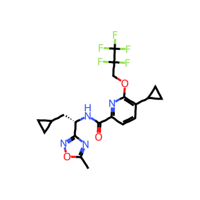 Cc1nc([C@H](CC2CC2)NC(=O)c2ccc(C3CC3)c(OCC(F)(F)C(F)(F)F)n2)no1